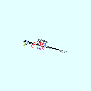 CCCCCCCCCCCCCCCCCCNC(=O)OC[C@H](COC(=O)CCCN1C=CSC1)OC(=O)OC.I